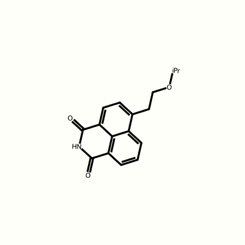 CC(C)OCCc1ccc2c3c(cccc13)C(=O)NC2=O